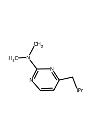 CC(C)Cc1ccnc(N(C)C)n1